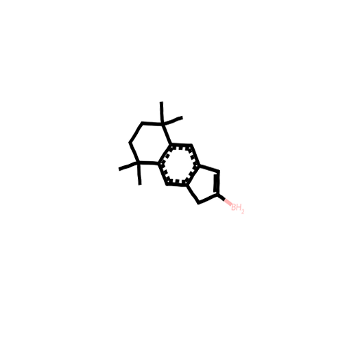 BC1=Cc2cc3c(cc2C1)C(C)(C)CCC3(C)C